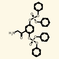 NCC(=O)c1cc(OP(=O)(Oc2ccccc2)Oc2ccccc2)ccc1OP(=O)(Oc1ccccc1)Oc1ccccc1